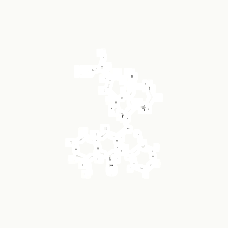 Cc1ccccc1-n1c(Cn2nc(C=C[C@H](C)O)c3c(N)ncnc32)cc2cccc(C)c2c1=O